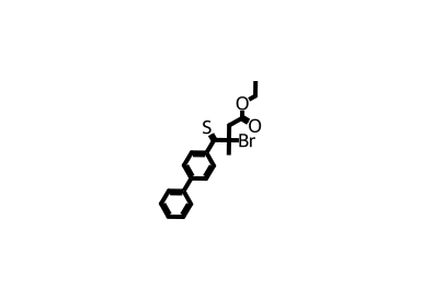 CCOC(=O)CC(C)(Br)C(=S)c1ccc(-c2ccccc2)cc1